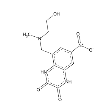 CN(CCO)Cc1cc([N+](=O)[O-])cc2[nH]c(=O)c(=O)[nH]c12